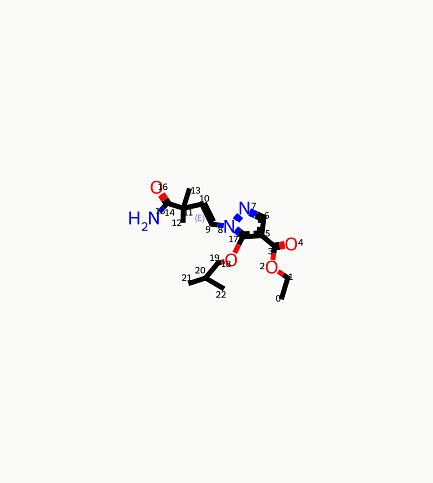 CCOC(=O)c1cnn(/C=C/C(C)(C)C(N)=O)c1OCC(C)C